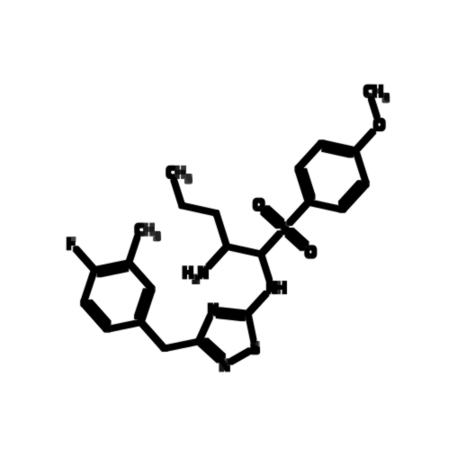 CCCC(N)C(Nc1nc(Cc2ccc(F)c(C)c2)ns1)S(=O)(=O)c1ccc(OC)cc1